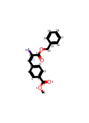 COC(=O)c1ccc(/C=C(/I)C(=O)OCc2ccccc2)cc1